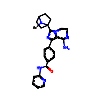 CC(=O)N1C2CCC1(c1nc(-c3ccc(C(=O)Nc4ccccn4)cc3)c3c(N)nccn13)CC2